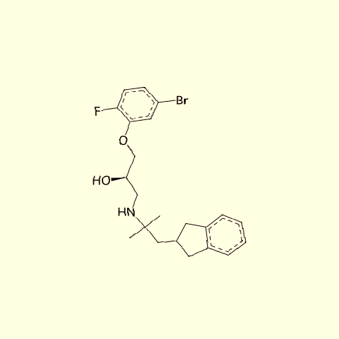 CC(C)(CC1Cc2ccccc2C1)NC[C@@H](O)COc1cc(Br)ccc1F